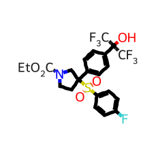 CCOC(=O)N1CCC(c2ccc(C(O)(C(F)(F)F)C(F)(F)F)cc2)(S(=O)(=O)c2ccc(F)cc2)C1